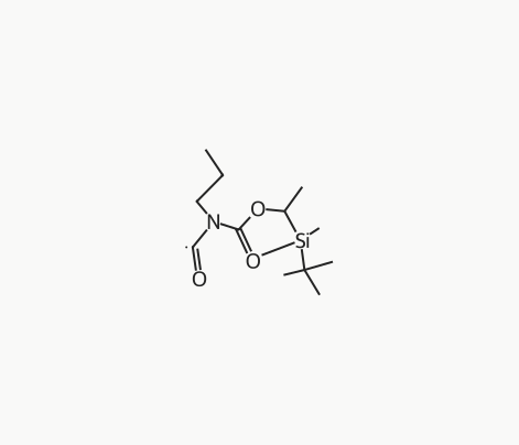 CCCN([C]=O)C(=O)OC(C)[Si](C)(C)C(C)(C)C